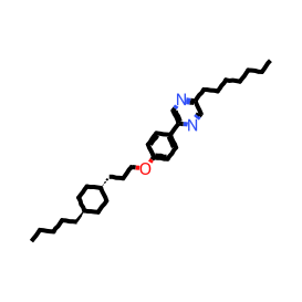 CCCCCCCc1cnc(-c2ccc(OCCC[C@H]3CC[C@H](CCCCC)CC3)cc2)cn1